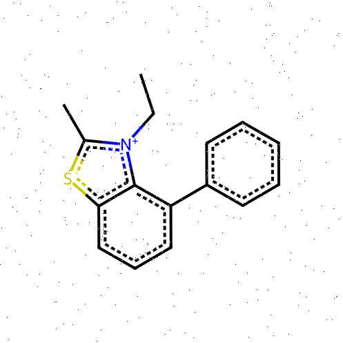 CC[n+]1c(C)sc2cccc(-c3ccccc3)c21